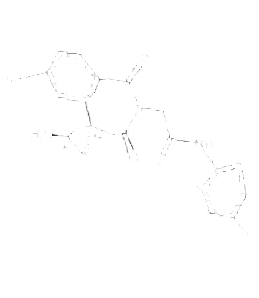 C[C@@H]1C[C@]12C(=O)N(CC(=O)Nc1ncc(F)cn1)C(=O)c1ccc(Br)cc12